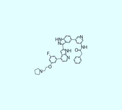 O=C(Cc1ccccc1)Nc1cncc(-c2ccc3[nH]nc(-c4cc5c(-c6cc(F)cc(OCCN7CCCC7)c6)ccnc5[nH]4)c3c2)c1